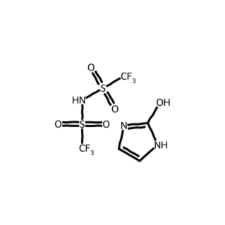 O=S(=O)(NS(=O)(=O)C(F)(F)F)C(F)(F)F.Oc1ncc[nH]1